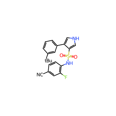 CC(C)(C)c1cccc(-c2c[nH]cc2S(=O)(=O)Nc2ccc(C#N)cc2F)c1